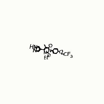 CCOc1nc(-c2cn[nH]c2)c(C)c(=O)n1C1=CCC(OCC(F)(F)F)C=C1